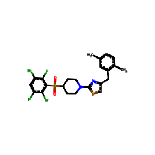 Cc1ccc(C)c(Cc2csc(N3CCC(S(=O)(=O)c4c(F)c(Br)cc(F)c4Br)CC3)n2)c1